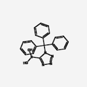 OB(O)c1nnnn1C(c1ccccc1)(c1ccccc1)c1ccccc1